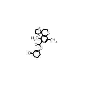 Cc1cc(C(=O)OC2=CC(=O)CCC2)c(C)c2c1SCCC21SCCS1